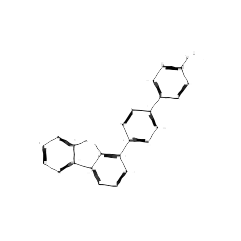 Bc1ccc(-c2ccc(-c3cccc4c3sc3ccccc34)cc2)cc1